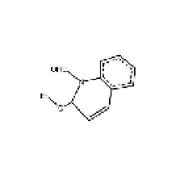 CCOC1C=Cc2ccccc2N1C=O